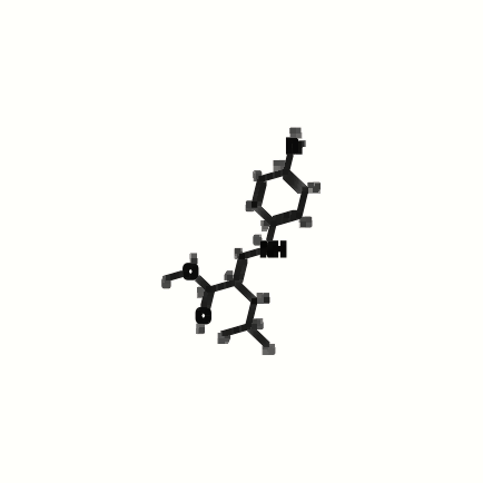 COC(=O)/C(=C/Nc1ccc(Br)cc1)CC(C)C